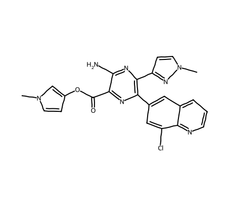 Cn1ccc(OC(=O)c2nc(-c3cc(Cl)c4ncccc4c3)c(-c3ccn(C)n3)nc2N)c1